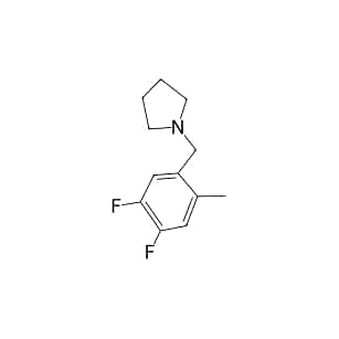 Cc1cc(F)c(F)cc1CN1CCCC1